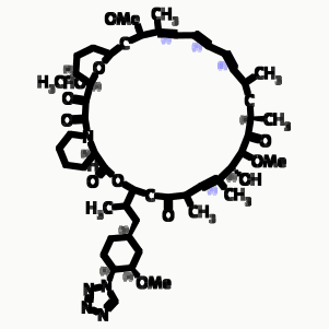 COC1CC2CC[C@@H](C)[C@@](O)(O2)C(=O)C(=O)N2CCCC[C@H]2C(=O)OC(C(C)C[C@@H]2CC[C@H](n3cnnn3)[C@H](OC)C2)CC(=O)C(C)/C=C(\C)[C@@H](O)C(OC)C(=O)[C@H](C)CC(C)/C=C/C=C/C=C/1C